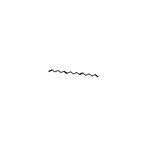 C=CCCCC=CCCCC=CCCCC=C